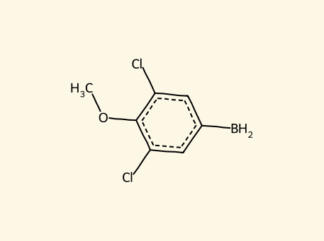 Bc1cc(Cl)c(OC)c(Cl)c1